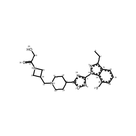 CCc1nn(-c2noc(C3CCN(CC4CN(C(=O)CO)C4)CC3)n2)c2c(F)cccc12